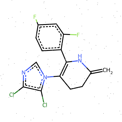 C=C1CCC(n2cnc(Cl)c2Cl)=C(c2ccc(F)cc2F)N1